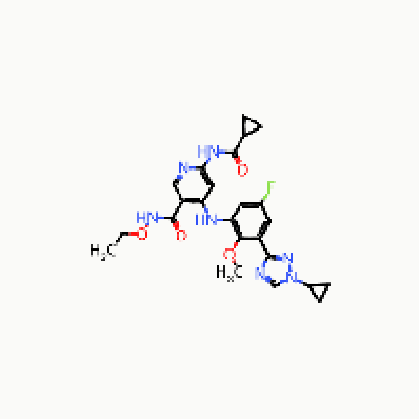 CCONC(=O)c1cnc(NC(=O)C2CC2)cc1Nc1cc(F)cc(-c2ncn(C3CC3)n2)c1OC